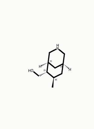 C[C@@H]1C[C@@H]2CNC[C@@H](C2)[C@H]1CO